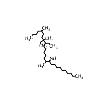 C=C(CCCC)CCC(C)(CC)C(CC)CCCCCC(C)C(=N)CCCCCCCCCC